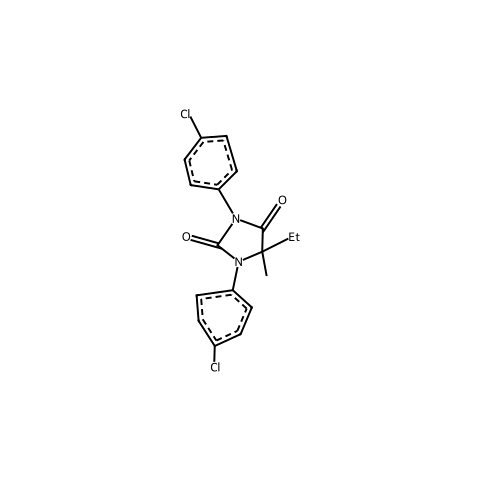 CCC1(C)C(=O)N(c2ccc(Cl)cc2)C(=O)N1c1ccc(Cl)cc1